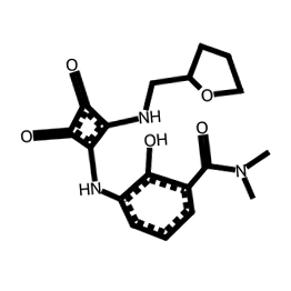 CN(C)C(=O)c1cccc(Nc2c(NCC3CCCO3)c(=O)c2=O)c1O